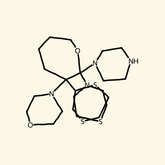 C1CCC(C2CSCCS2)(N2CCOCC2)C(N2CCNCC2)(N2CCSCC2)OC1